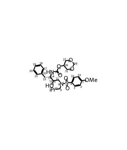 COc1ccc(S(=O)(=O)N(CC(C)C)C[C@@H](O)[C@H](Cc2ccccc2)NC(=O)OC2COCOC2)cc1